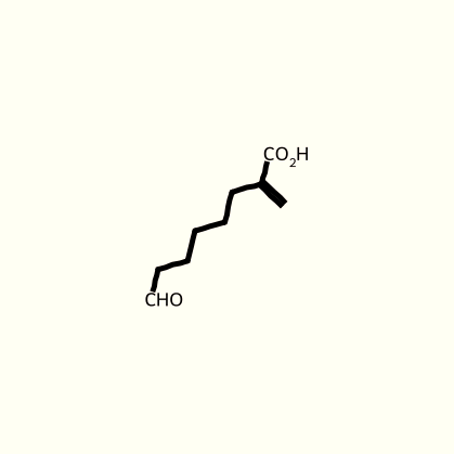 C=C(CCCCCC=O)C(=O)O